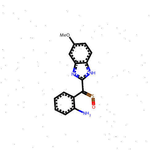 COc1ccc2[nH]c(C(=S=O)c3ccccc3N)nc2c1